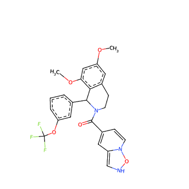 COc1cc2c(c(OC)c1)C(c1cccc(OC(F)(F)F)c1)N(C(=O)C1=CC3=CNON3C=C1)CC2